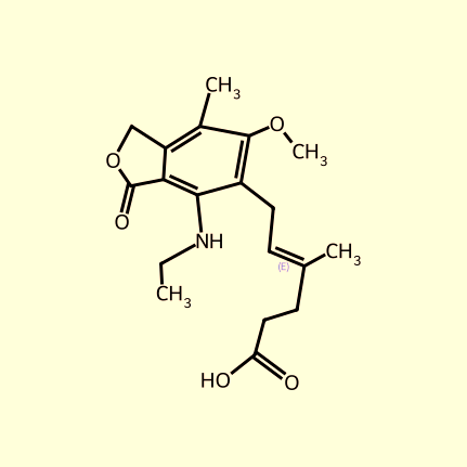 CCNc1c(C/C=C(\C)CCC(=O)O)c(OC)c(C)c2c1C(=O)OC2